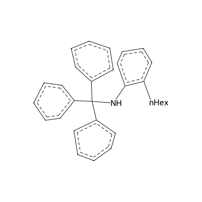 CCCCCCc1ccccc1NC(c1ccccc1)(c1ccccc1)c1ccccc1